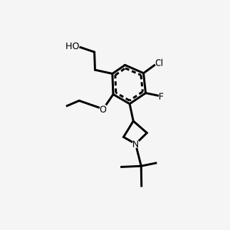 CCOc1c(CCO)cc(Cl)c(F)c1C1CN(C(C)(C)C)C1